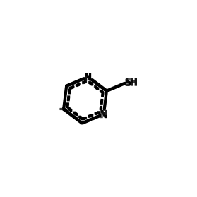 Sc1nc[c]cn1